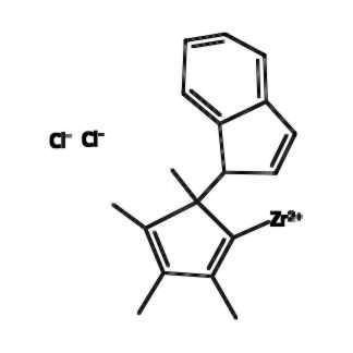 CC1=C(C)C(C)(C2C=Cc3ccccc32)[C]([Zr+2])=C1C.[Cl-].[Cl-]